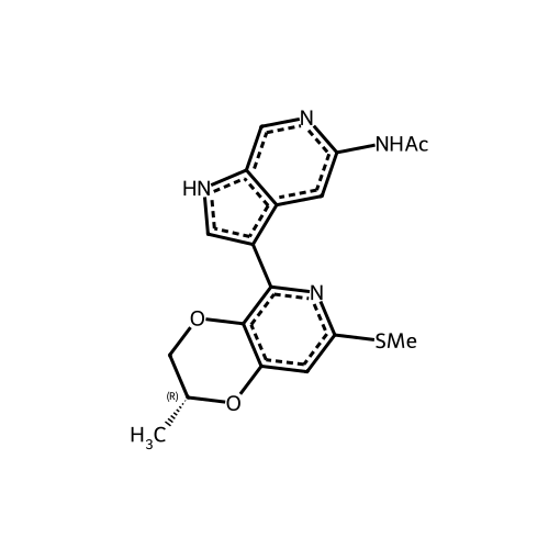 CSc1cc2c(c(-c3c[nH]c4cnc(NC(C)=O)cc34)n1)OC[C@@H](C)O2